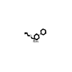 C=CCOC[C@]1(CCCCCCCCCC)CC[C@H](C2CCCCC2)CC1